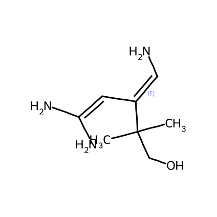 CC(C)(CO)/C(C=C(N)N)=C/N